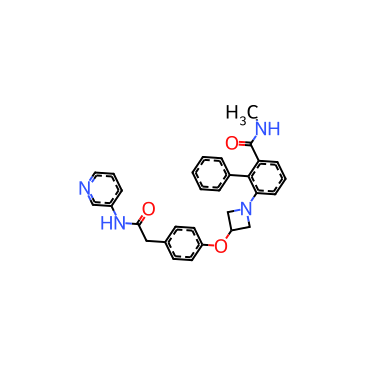 CNC(=O)c1cccc(N2CC(Oc3ccc(CC(=O)Nc4cccnc4)cc3)C2)c1-c1ccccc1